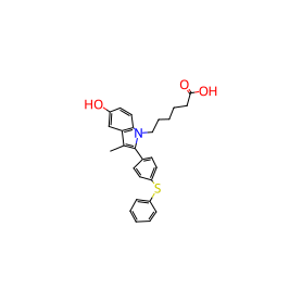 Cc1c(-c2ccc(Sc3ccccc3)cc2)n(CCCCCC(=O)O)c2ccc(O)cc12